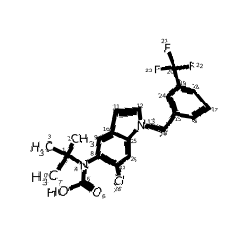 CC(C)(C)N(C(=O)O)c1cc2ccn(Cc3cccc(C(F)(F)F)c3)c2cc1Cl